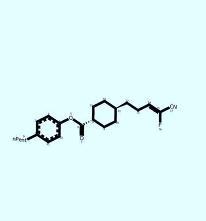 CCCCCc1ccc(OC(=O)[C@H]2CC[C@H](CCC=C(F)C#N)CC2)cc1